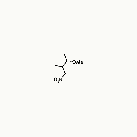 CO[C@@H](C)[C@H](C)C[N+](=O)[O-]